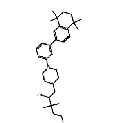 CC1(C)CCC(C)(C)c2cc(-c3cccc(N4CCN(CC(O)C(C)(C)CCO)CC4)n3)ccc21